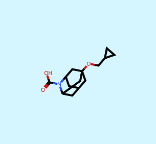 O=C(O)N1C2CC3CC1CC(OCC1CC1)(C3)C2